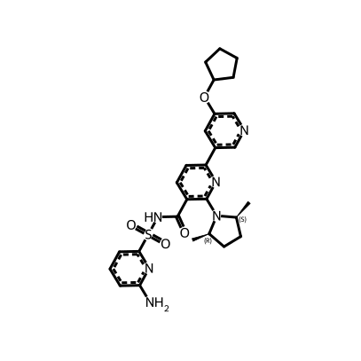 C[C@@H]1CC[C@H](C)N1c1nc(-c2cncc(OC3CCCC3)c2)ccc1C(=O)NS(=O)(=O)c1cccc(N)n1